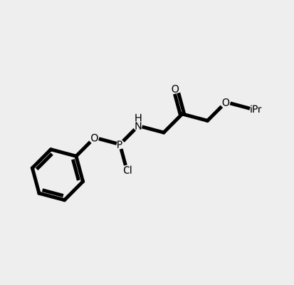 CC(C)OCC(=O)CNP(Cl)Oc1ccccc1